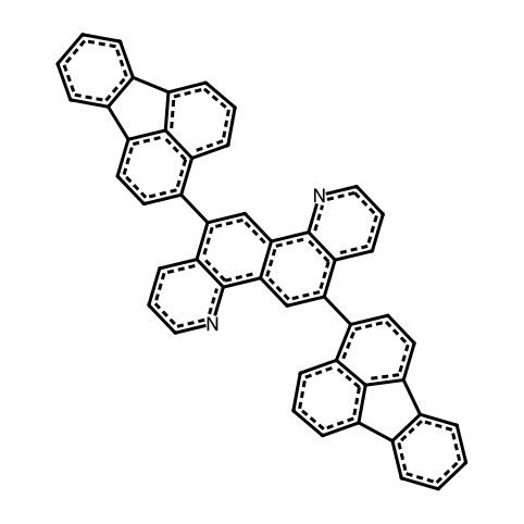 c1ccc2c(c1)-c1cccc3c(-c4cc5c(cc(-c6ccc7c8c(cccc68)-c6ccccc6-7)c6cccnc65)c5ncccc45)ccc-2c13